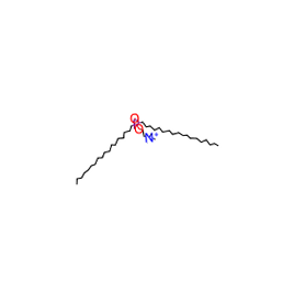 CCCCCCCCCCCCCCCCCCP(=O)(CCCCCCCCCCCCCCCCCC)OCC[N+](C)(C)C